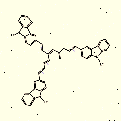 C=C(/C=C(\C=C\C=C\c1ccc2c(c1)c1ccccc1n2CC)/C=C/c1ccc2c(c1)c1ccccc1n2CC)C/C=C/c1ccc2c(c1)c1ccccc1n2CC